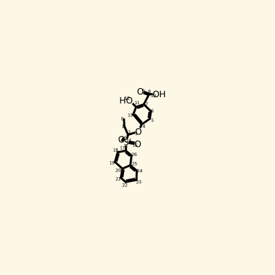 CCC(Oc1ccc(C(=O)O)c(O)c1)S(=O)(=O)c1ccc2ccccc2c1